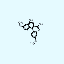 COc1ccc(-c2c(C(=O)O)cc(O)c3cc(OC)ccc23)cc1